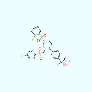 CC(O)(c1ccc(N2CCN(S(=O)(=O)C3=CC=CCC3=S)C[C@@H]2CS(=O)(=O)c2ccc(F)cc2)cc1)C(F)(F)F